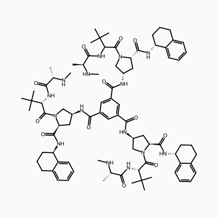 CN[C@@H](C)C(=O)NC(C(=O)N1C[C@@H](NC(=O)c2cc(C(=O)N[C@H]3C[C@@H](C(=O)N[C@@H]4CCCc5ccccc54)N(C(=O)[C@@H](NC(=O)[C@H](C)NC)C(C)(C)C)C3)cc(C(=O)N[C@H]3C[C@@H](C(=O)N[C@@H]4CCCc5ccccc54)N(C(=O)[C@@H](NC(=O)[C@H](C)NC)C(C)(C)C)C3)c2)C[C@H]1C(=O)N[C@@H]1CCCc2ccccc21)C(C)(C)C